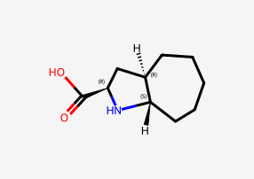 O=C(O)[C@H]1C[C@H]2CCCCC[C@@H]2N1